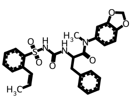 C/C=C\c1ccccc1S(=O)(=O)NC(=O)NC(Cc1ccccc1)C(=O)N(C)c1ccc2c(c1)OCO2